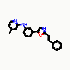 Cc1ccnc(Nc2cccc(-c3cnc(C=Cc4ccccc4)o3)c2)c1